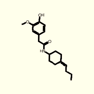 CCCC=C1CCC(NC(=O)Cc2ccc(O)c(OC)c2)CC1